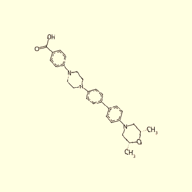 C[C@@H]1CN(c2ccc(-c3ccc(N4CCN(c5ccc(C(=O)O)cc5)CC4)cc3)cc2)C[C@H](C)O1